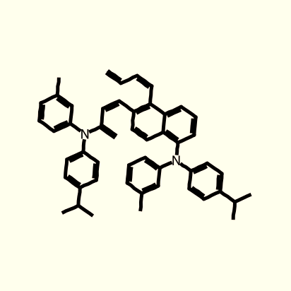 C=C/C=C\c1c(/C=C\C(=C)N(c2ccc(C(C)C)cc2)c2cccc(C)c2)ccc2c(N(c3ccc(C(C)C)cc3)c3cccc(C)c3)cccc12